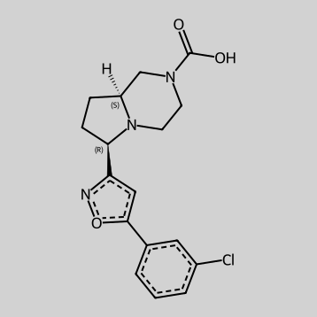 O=C(O)N1CCN2[C@@H](CC[C@@H]2c2cc(-c3cccc(Cl)c3)on2)C1